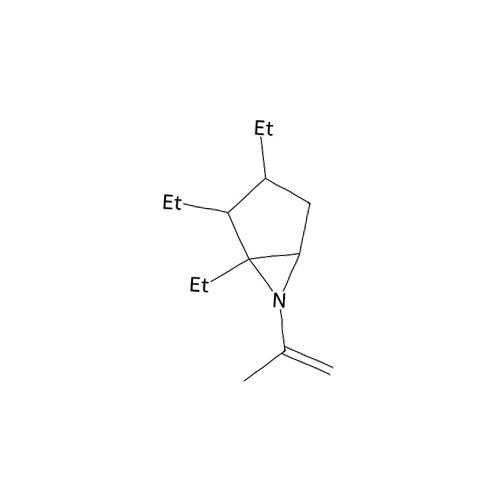 C=C(C)N1C2CC(CC)C(CC)C21CC